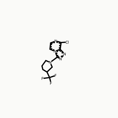 FC(F)(F)C1CCCN(c2nnc3c(Cl)nccn23)C1